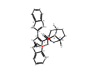 O=C(Cn1cnc2cccnc21)N1[C@@H]2CC[C@H]1CN(c1scnc1-c1nc3ccccc3[nH]1)C2